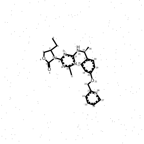 CCC1COC(=O)N1c1nc(C)nc(N[C@@H](C)c2ccc(OCc3ccccn3)cc2)n1